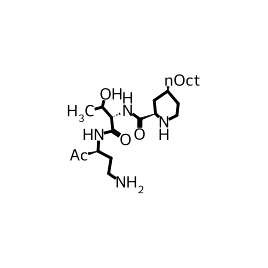 CCCCCCCC[C@H]1CCN[C@@H](C(=O)N[C@H](C(=O)N[C@@H](CCN)C(C)=O)C(C)O)C1